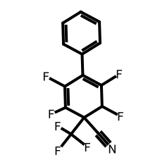 N#CC1(C(F)(F)F)C(F)=C(F)C(c2ccccc2)=C(F)C1F